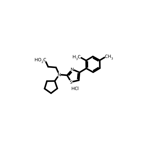 Cc1ccc(-c2csc(N(CCC(=O)O)C3CCCC3)n2)c(C)c1.Cl